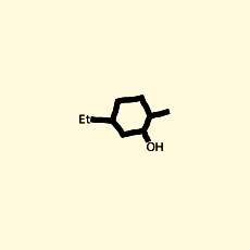 CCC1CCC(C)C(O)C1